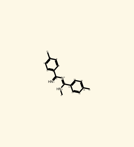 CN/C(=N\C(=N)c1ccc(C)cc1)c1ccc(C)cc1